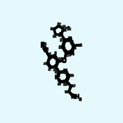 Cc1nc(Oc2cc(C#N)ccc2-c2ncc(CCN)cn2)cc(N2CCC[C@@H]2C)n1